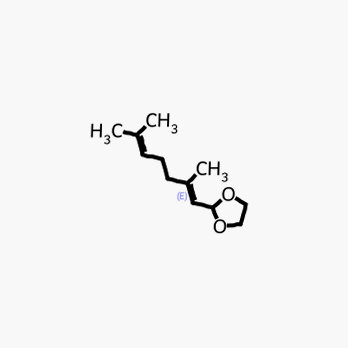 CC(C)=CCC/C(C)=C/C1OCCO1